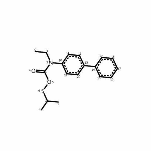 CCN(C(=O)OSC(C)C)c1ccc(-c2ccccc2)cc1